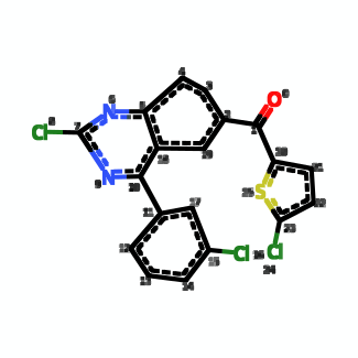 O=C(c1ccc2nc(Cl)nc(-c3cccc(Cl)c3)c2c1)c1ccc(Cl)s1